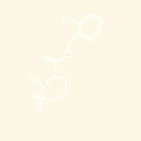 CC(C)N1C(C(=O)NCc2ccccc2Cl)CCCS1(=O)=O